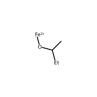 CCC(C)[O][Fe+2]